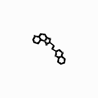 C(=Cc1nc2ccc3ncccc3n2n1)c1cnc2ccccc2n1